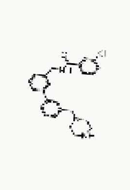 O=C(NCc1cccc(-c2cccc(CN3CCNCC3)c2)c1)c1cccc(Cl)c1